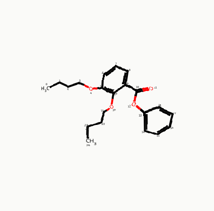 CCCCOc1cccc(C(=O)Oc2ccccc2)c1OCCCC